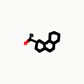 CCC(=O)c1ccc2ccc3ccccc3c2c1